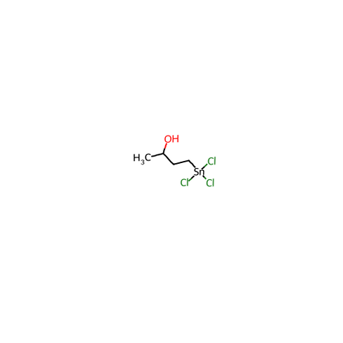 CC(O)C[CH2][Sn]([Cl])([Cl])[Cl]